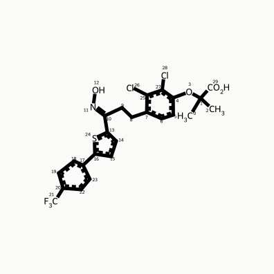 CC(C)(Oc1ccc(CC/C(=N\O)c2ccc(-c3ccc(C(F)(F)F)cc3)s2)c(Cl)c1Cl)C(=O)O